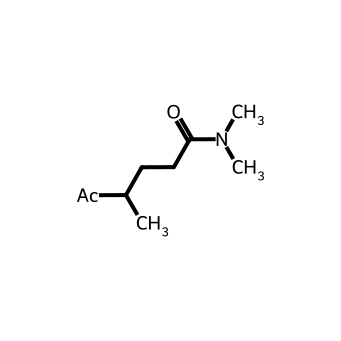 CC(=O)C(C)CCC(=O)N(C)C